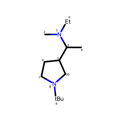 CCN(C)C(C)C1CCN(C(C)(C)C)C1